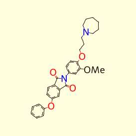 COc1cc(N2C(=O)c3ccc(Oc4ccccc4)cc3C2=O)ccc1OCCCN1CCCCCC1